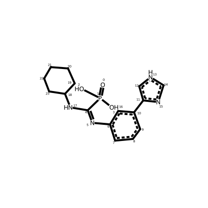 O=P(O)(O)C(=Nc1cccc(-c2c[nH]cn2)c1)NC1CCCCC1